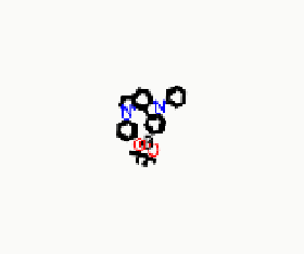 CC1(C)OB(c2ccc3c(c2)c2c4c(ccc2n3-c2ccccc2)ccn4-c2ccccc2)OC1(C)C